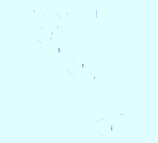 O=C(O)c1cc(=O)c2cccc(/C=C/c3ccc(OCCCCc4ccccc4F)cc3)c2o1